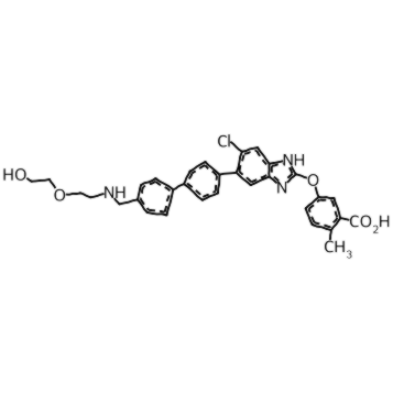 Cc1ccc(Oc2nc3cc(-c4ccc(-c5ccc(CNCCOCCO)cc5)cc4)c(Cl)cc3[nH]2)cc1C(=O)O